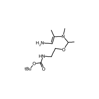 CC(=CN)N(C)C(C)OCCNC(=O)OC(C)(C)C